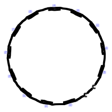 [C]1=C/C=C\C=C/C=C\C=C/C=C\C=C/C=C\C=C/C=C\C=C/C=C\CC\1